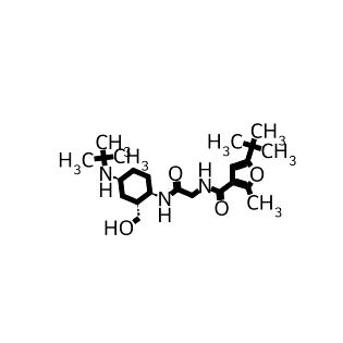 Cc1oc(C(C)(C)C)cc1C(=O)NCC(=O)N[C@H]1CC[C@@H](NC(C)(C)C)C[C@H]1CO